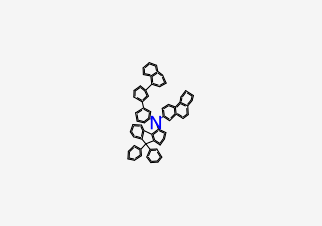 c1ccc(C2(c3ccccc3)c3ccccc3-c3c(N(c4cccc(-c5cccc(-c6cccc7ccccc67)c5)c4)c4ccc5c(ccc6ccccc65)c4)cccc32)cc1